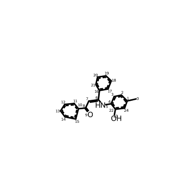 Cc1ccc(N/C(=C\C(=O)c2ccccc2)c2ccccc2)c(O)c1